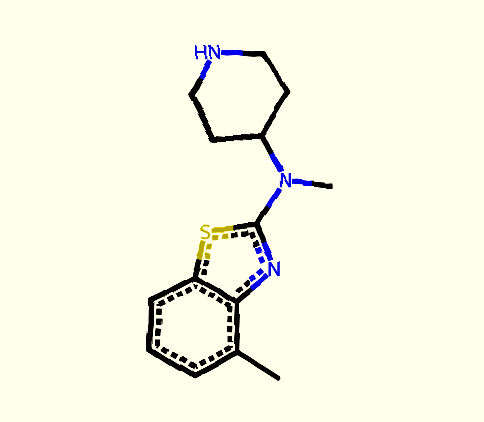 Cc1cccc2sc(N(C)C3CCNCC3)nc12